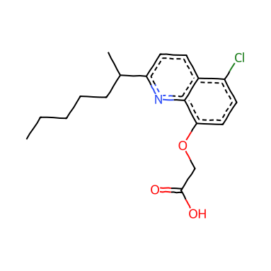 CCCCCC(C)c1ccc2c(Cl)ccc(OCC(=O)O)c2n1